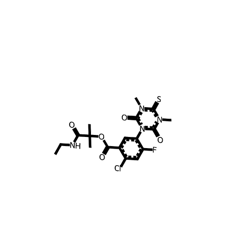 CCNC(=O)C(C)(C)OC(=O)c1cc(-n2c(=O)n(C)c(=S)n(C)c2=O)c(F)cc1Cl